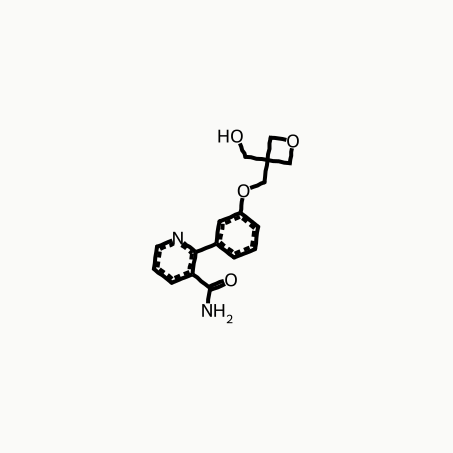 NC(=O)c1cccnc1-c1cccc(OCC2(CO)COC2)c1